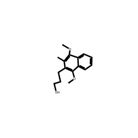 COc1c(C)c(CCCO)c(OC)c2ccccc12